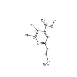 COC(=O)c1cc(OCCBr)cc(F)c1C